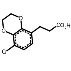 O=C(O)CCc1ccc(Cl)c2c1OCCO2